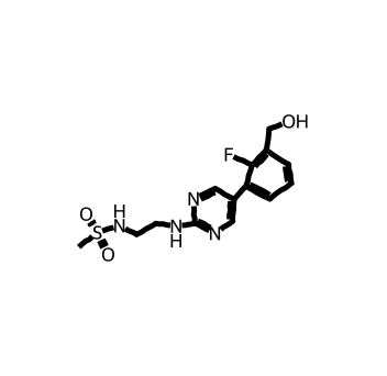 CS(=O)(=O)NCCNc1ncc(-c2cccc(CO)c2F)cn1